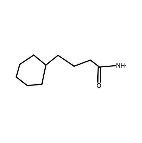 [NH]C(=O)CCCC1CCCCC1